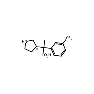 CC(C(=O)O)(c1cccc(C(F)(F)F)c1)[C@H]1CCNC1